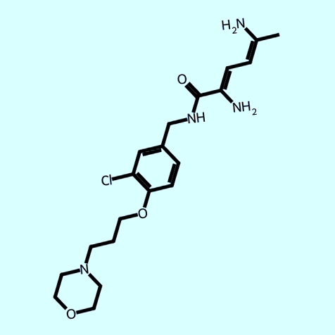 C/C(N)=C/C=C(\N)C(=O)NCc1ccc(OCCCN2CCOCC2)c(Cl)c1